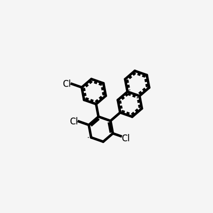 ClC1=C(c2cccc(Cl)c2)C(c2ccc3ccccc3c2)=C(Cl)C[CH]1